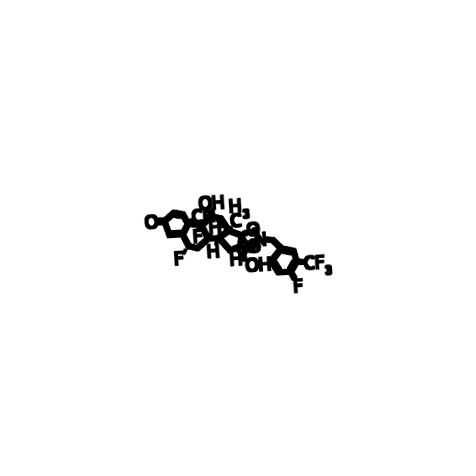 C[C@]12C=CC(=O)C=C1[C@@H](F)C[C@H]1[C@@H]3C[C@H]4CN(Cc5ccc(F)c(C(F)(F)F)c5)O[C@@]4(C(=O)CO)[C@@]3(C)C[C@H](O)[C@@]12F